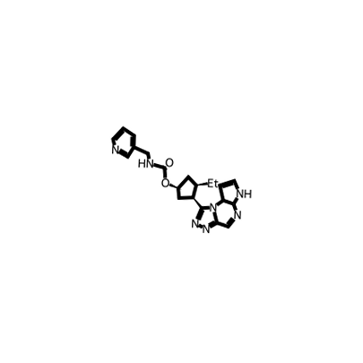 CC[C@@H]1C[C@H](OC(=O)NCc2cccnc2)C[C@@H]1c1nnc2n1C1C=CNC1N=C2